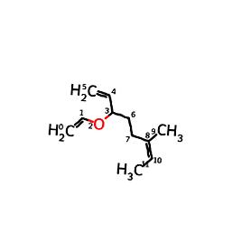 C=COC(C=C)CC/C(C)=C\C